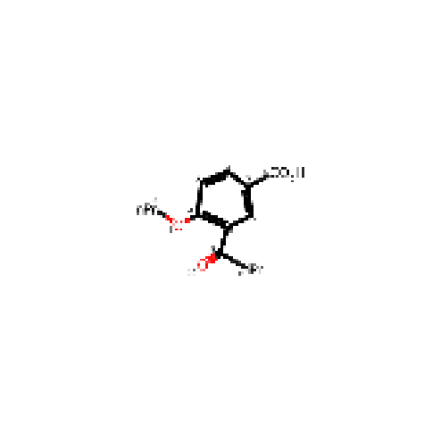 CCCOc1ccc(C(=O)O)cc1C(=O)C(C)C